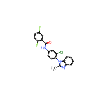 O=C(Nc1ccc(-n2c(C(F)(F)F)nc3ccccc32)c(Cl)c1)c1cc(F)ccc1F